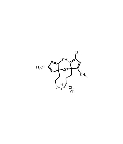 CCC[C]1([Zr+2][C]2(CCC)C=C(C)C=C2C)C=C(C)C=C1C.[Cl-].[Cl-]